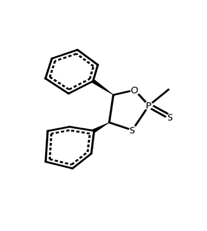 CP1(=S)O[C@H](c2ccccc2)[C@H](c2ccccc2)S1